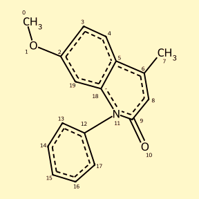 COc1ccc2c(C)cc(=O)n(-c3ccccc3)c2c1